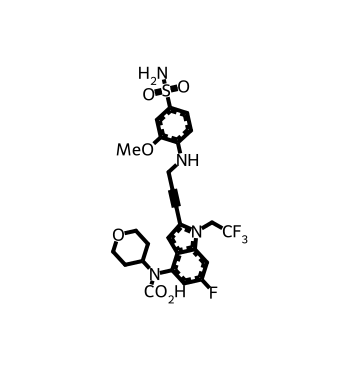 COc1cc(S(N)(=O)=O)ccc1NCC#Cc1cc2c(N(C(=O)O)C3CCOCC3)cc(F)cc2n1CC(F)(F)F